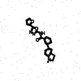 CN1CCc2cc(-c3cccc(C(=O)Nc4nnc(-c5ccco5)o4)c3)ccc21